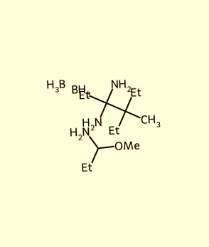 B.B.CCC(N)(N)C(C)(CC)CC.CCC(N)OC